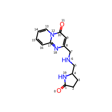 O=C1CCC(CNCc2cc(=O)n3ccccc3n2)N1